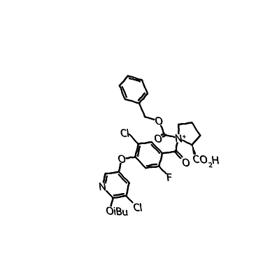 CC(C)COc1ncc(Oc2cc(F)c(C(=O)[N+]3(C(=O)OCc4ccccc4)CCC[C@H]3C(=O)O)cc2Cl)cc1Cl